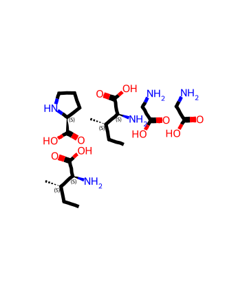 CC[C@H](C)[C@H](N)C(=O)O.CC[C@H](C)[C@H](N)C(=O)O.NCC(=O)O.NCC(=O)O.O=C(O)[C@@H]1CCCN1